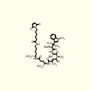 CN[C@H](C(=O)N[C@H](C(=O)N(C)C(/C=C(\C)C(=O)N[C@H](CCC(=O)N[C@@H](CCCCNC(=O)CCCCCN1C(=O)C=CC1=O)C(=O)O)C(=O)O)C(C)C)C(C)(C)C)C(C)(C)c1cn(C)c2ccccc12